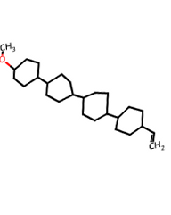 C=CC1CCC(C2CCC(C3CCC(C4CCC(OC)CC4)CC3)CC2)CC1